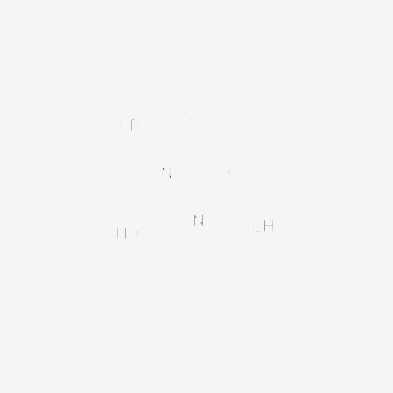 Bc1cccc(-n2c(C)ccc2C)n1